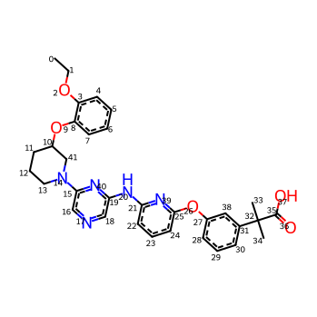 CCOc1ccccc1OC1CCCN(c2cncc(Nc3cccc(Oc4cccc(C(C)(C)C(=O)O)c4)n3)n2)C1